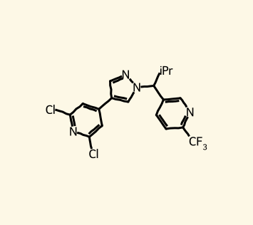 CC(C)C(c1ccc(C(F)(F)F)nc1)n1cc(-c2cc(Cl)nc(Cl)c2)cn1